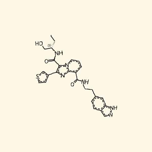 CC[C@@H](CO)NC(=O)c1c(-c2ccsc2)nc2c(C(=O)NCCc3ccc4cn[nH]c4c3)cccn12